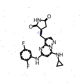 O=C1C/C(=C\c2cnn3c(NC4CC4)cc(Nc4cc(F)ccc4F)nc23)C(=O)N1